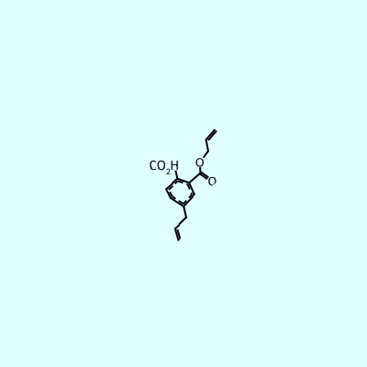 C=CCOC(=O)c1cc(CC=C)ccc1C(=O)O